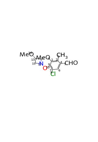 COc1c(C)c(C=O)cc(Cl)c1ON1CC(OC)C1